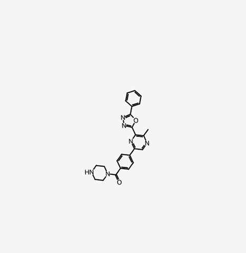 Cc1ncc(-c2ccc(C(=O)N3CCNCC3)cc2)nc1-c1nnc(-c2ccccc2)o1